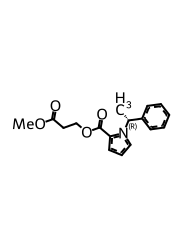 COC(=O)CCOC(=O)c1cccn1[C@H](C)c1ccccc1